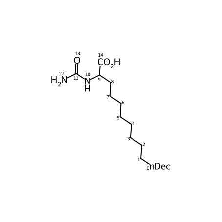 CCCCCCCCCCCCCCCCCCC(NC(N)=O)C(=O)O